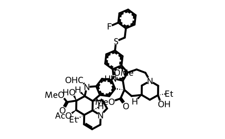 CC[C@]1(O)C[C@H]2CN(CCc3c([nH]c4ccc(SCc5ccccc5F)cc34)[C@@](C(=O)OC)(c3cc4c(cc3OC)N(C=O)[C@H]3[C@@](O)(C(=O)OC)[C@H](OC(C)=O)[C@]5(CC)C=CCN6CC[C@]43[C@@H]65)C2)C1